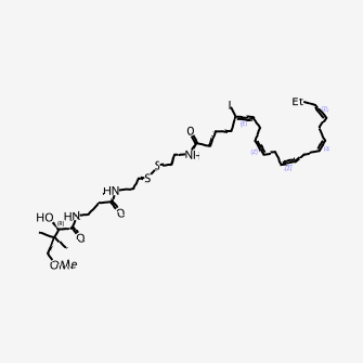 CC/C=C\C/C=C\C/C=C\C/C=C\C/C=C(/I)CCCC(=O)NCCSSCCNC(=O)CCNC(=O)[C@H](O)C(C)(C)COC